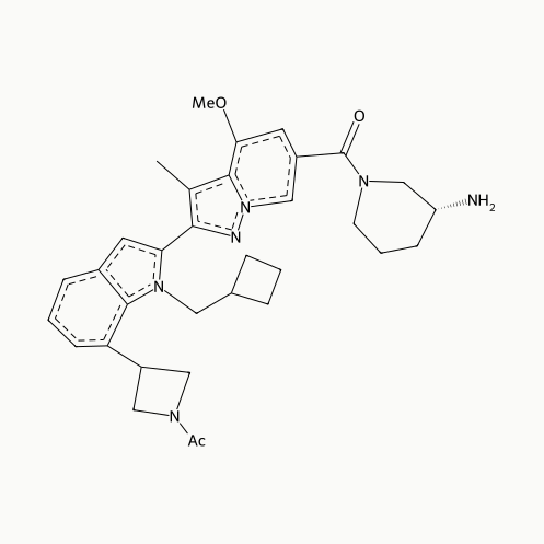 COc1cc(C(=O)N2CCC[C@@H](N)C2)cn2nc(-c3cc4cccc(C5CN(C(C)=O)C5)c4n3CC3CCC3)c(C)c12